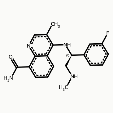 CNC[C@@H](Nc1c(C)cnc2c(C(N)=O)cccc12)c1cccc(F)c1